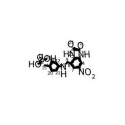 O=c1[nH]c2cc([N+](=O)[O-])cc(CNc3ccc(CP(=O)(O)O)cc3)c2[nH]c1=O